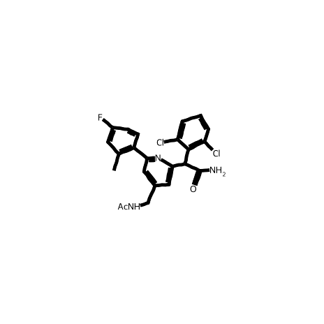 CC(=O)NCc1cc(-c2ccc(F)cc2C)nc(C(C(N)=O)c2c(Cl)cccc2Cl)c1